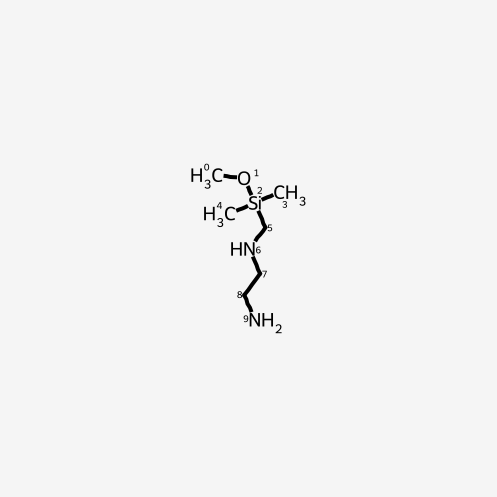 CO[Si](C)(C)CNCCN